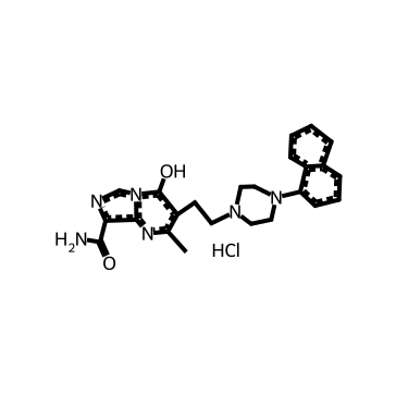 Cc1nc2c(C(N)=O)ncn2c(O)c1CCN1CCN(c2cccc3ccccc23)CC1.Cl